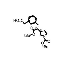 CC(C)(C)OC(=O)[C@H](Cc1cccc(CC(=O)O)c1)[C@H]1CCN(C(=O)OC(C)(C)C)C1